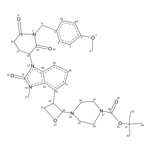 COc1ccc(CN2C(=O)CCC(n3c(=O)n(C)c4c(C5COC5N5CCN(C(=O)OC(C)(C)C)CC5)cccc43)C2=O)cc1